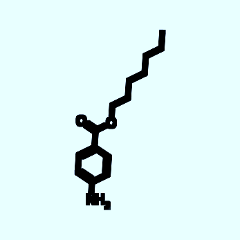 CCCCCCCOC(=O)c1ccc(N)cc1